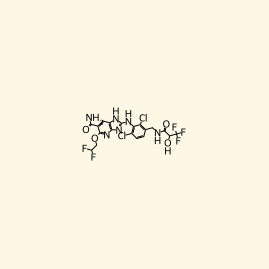 NC(=O)c1cc2[nH]c(Nc3c(Cl)ccc(CNC(=O)C(O)C(F)(F)F)c3Cl)nc2nc1OCC(F)F